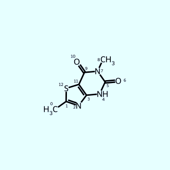 Cc1nc2[nH]c(=O)n(C)c(=O)c2s1